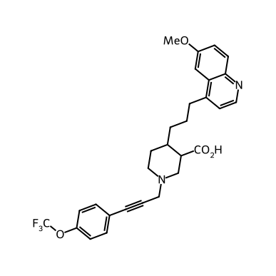 COc1ccc2nccc(CCCC3CCN(CC#Cc4ccc(OC(F)(F)F)cc4)CC3C(=O)O)c2c1